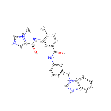 Cc1ccc(C(=O)Nc2cccc(Cn3cnc4ccccc43)c2)cc1NC(=O)c1cncn1C